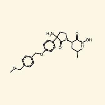 COCc1ccc(COc2ccc(C3(N)CCN(C(CC(C)C)C(=O)NO)C3=O)cc2)cc1